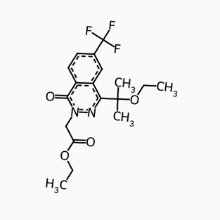 CCOC(=O)Cn1nc(C(C)(C)OCC)c2cc(C(F)(F)F)ccc2c1=O